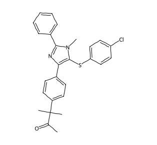 CC(=O)C(C)(C)c1ccc(-c2nc(-c3ccccc3)n(C)c2Sc2ccc(Cl)cc2)cc1